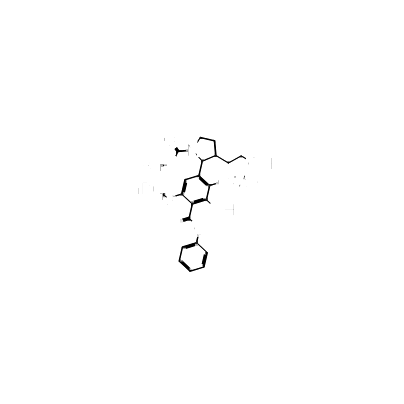 CCCCOc1cc(C2C(CCO)CCN2C(=O)OC(C)(C)C)c(OC)c(C)c1C(=O)Oc1ccccc1